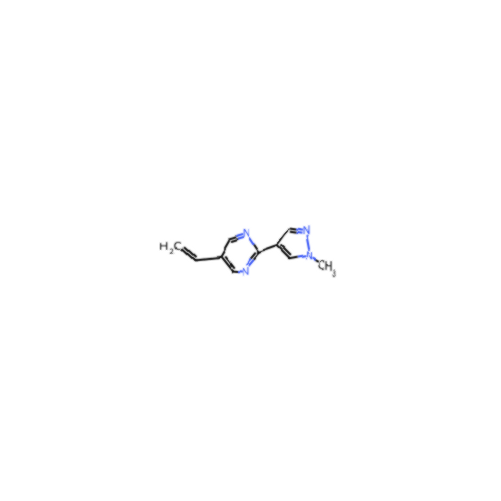 C=Cc1cnc(-c2cnn(C)c2)nc1